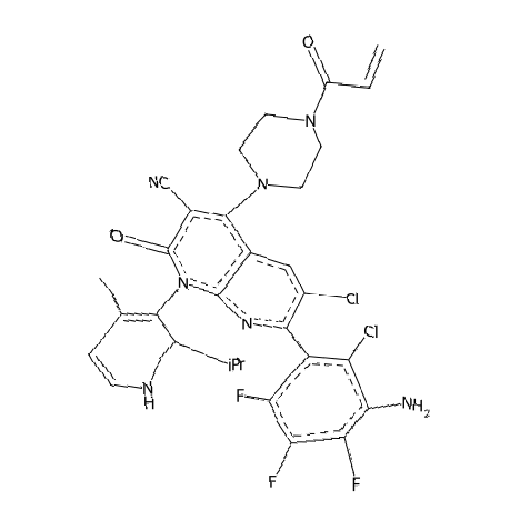 C=CC(=O)N1CCN(c2c(C#N)c(=O)n(C3=C(C)C=CNC3C(C)C)c3nc(-c4c(F)c(F)c(F)c(N)c4Cl)c(Cl)cc23)CC1